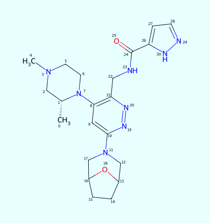 C[C@@H]1CN(C)CCN1c1cc(N2CC3CCC(C2)O3)nnc1CNC(=O)c1ccn[nH]1